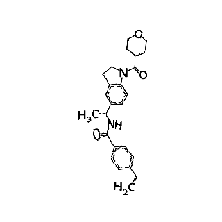 C=Cc1ccc(C(=O)NC(C)c2ccc3c(c2)CCN3C(=O)C2CCOCC2)cc1